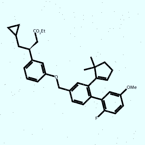 CCOC(=O)C[C@H](CC1CC1)c1cccc(OCc2ccc(-c3cc(OC)ccc3F)c(C3=CCCC3(C)C)c2)c1